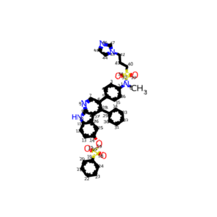 CN(c1ccc(-c2cnc3[nH]c4ccc(OS(=O)(=O)c5ccccc5)cc4c3c2-c2ccccc2)cc1)S(=O)(=O)CCCn1ccnc1